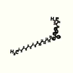 CCCCCCCCCCCCCCCCOC(=O)OOOCCCC